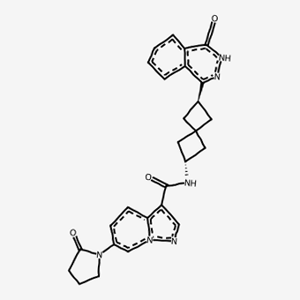 O=C(N[C@H]1CC2(C1)C[C@H](c1n[nH]c(=O)c3ccccc31)C2)c1cnn2cc(N3CCCC3=O)ccc12